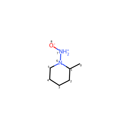 CC1CCCCN1[NH2+][O-]